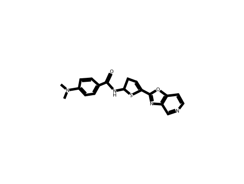 CN(C)c1ccc(C(=O)NC2CC=C(c3nc4cnccc4o3)S2)cc1